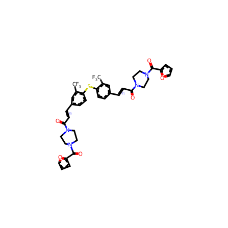 O=C(/C=C/c1ccc(Sc2ccc(/C=C/C(=O)N3CCN(C(=O)c4ccco4)CC3)cc2C(F)(F)F)c(C(F)(F)F)c1)N1CCN(C(=O)c2ccco2)CC1